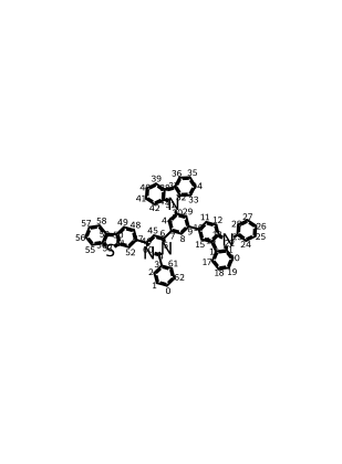 c1ccc(-c2nc(-c3cc(-c4ccc5c(c4)c4ccccc4n5-c4ccccc4)cc(-n4c5ccccc5c5ccccc54)c3)cc(-c3ccc4c(c3)sc3ccccc34)n2)cc1